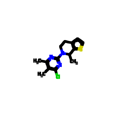 Cc1nc(N2CCc3ccsc3C2C)nc(Cl)c1C